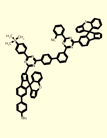 CC(C)(C)c1ccc(-c2ccc3c(c2)C2(c4ccccc4Oc4ccccc42)c2cc(-c4nc(-c5ccc(-c6cccc(-c7nc(-c8ccc9c(c8)C8(c%10ccccc%10Sc%10ccccc%108)c8ccccc8-9)nc(-c8ccccc8C#N)n7)c6)cc5)nc(-c5ccc([Si](C)(C)C)cc5)n4)ccc2-3)cc1